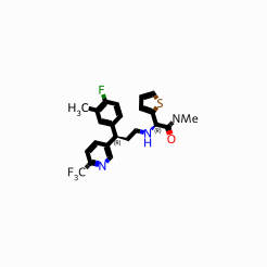 CNC(=O)[C@@H](NCC[C@@H](c1ccc(C(F)(F)F)nc1)c1ccc(F)c(C)c1)c1cccs1